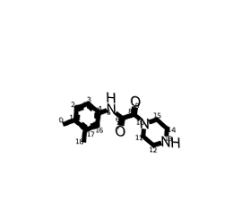 Cc1ccc(NC(=O)C(=O)N2CCNCC2)cc1C